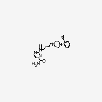 NC(=O)c1ccnc(NCCCCN2CCN(c3ccccc3C3CC3)CC2)n1